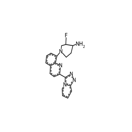 NC1CCN(c2cccc3ccc(-c4nnc5ccccn45)nc23)CC1F